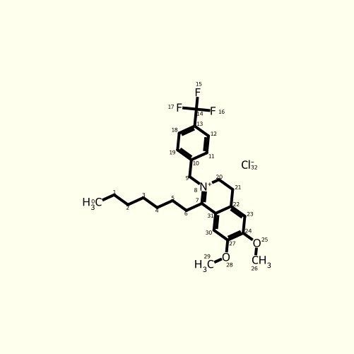 CCCCCCCC1=[N+](Cc2ccc(C(F)(F)F)cc2)CCc2cc(OC)c(OC)cc21.[Cl-]